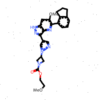 COCCOC(=O)N1CC(n2cc(-c3n[nH]c4cc(OC)c(-c5cccc6c5CCC6)nc34)cn2)C1